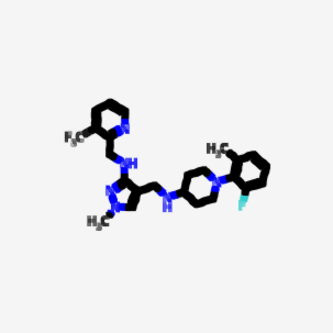 Cc1cccc(F)c1N1CCC(NCc2cn(C)nc2NCc2ncccc2C(F)(F)F)CC1